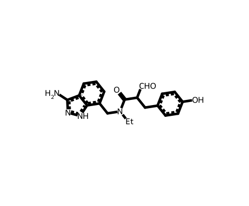 CCN(Cc1cccc2c(N)n[nH]c12)C(=O)C(C=O)Cc1ccc(O)cc1